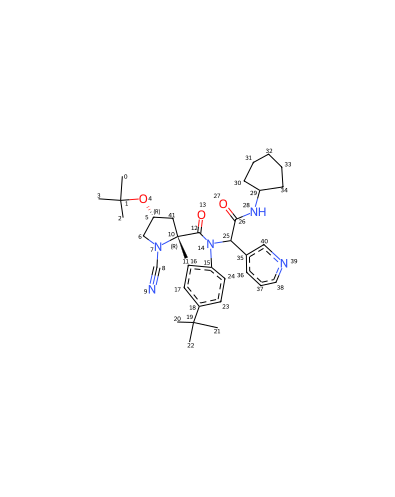 CC(C)(C)O[C@H]1CN(C#N)[C@@](C)(C(=O)N(c2ccc(C(C)(C)C)cc2)C(C(=O)NC2CCCCC2)c2cccnc2)C1